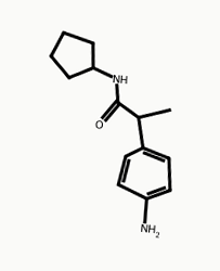 CC(C(=O)NC1CCCC1)c1ccc(N)cc1